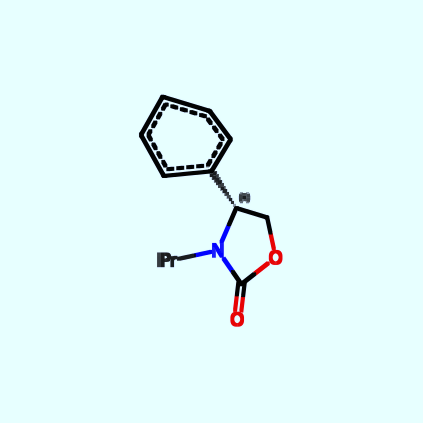 CC(C)N1C(=O)OC[C@H]1c1ccccc1